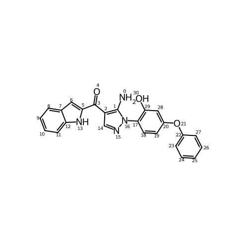 Nc1c(C(=O)c2cc3ccccc3[nH]2)cnn1-c1ccc(Oc2ccccc2)cc1O